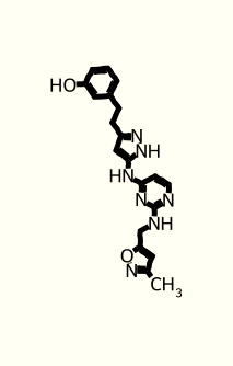 Cc1cc(CNc2nccc(Nc3cc(CCc4cccc(O)c4)n[nH]3)n2)on1